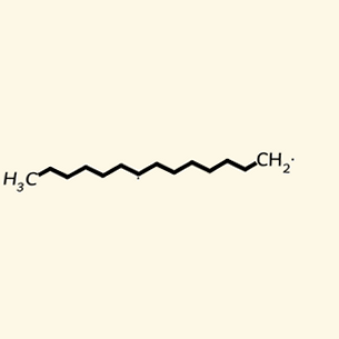 [CH2]CCCCCC[CH]CCCCCC